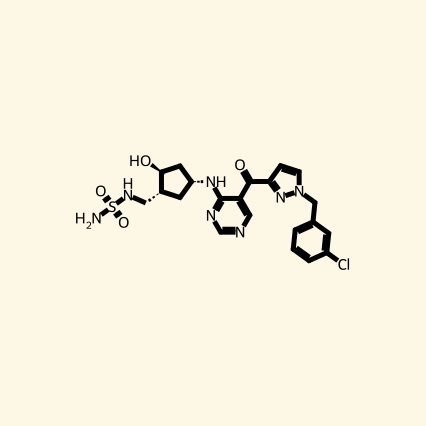 NS(=O)(=O)NC[C@H]1C[C@@H](Nc2ncncc2C(=O)c2ccn(Cc3cccc(Cl)c3)n2)C[C@@H]1O